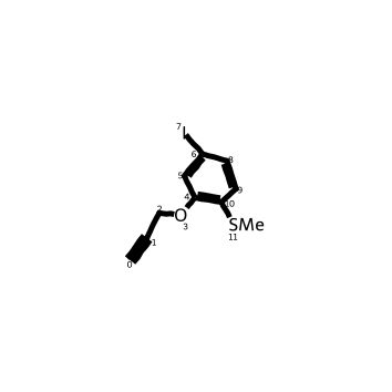 C#CCOc1cc(I)ccc1SC